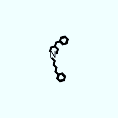 c1ccc(CCCCCN2CCC(Cc3ccccc3)CC2)cc1